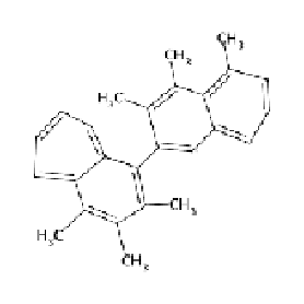 Cc1c(C)c(-c2[c]c3cccc(C)c3c(C)c2C)c2ccccc2c1C